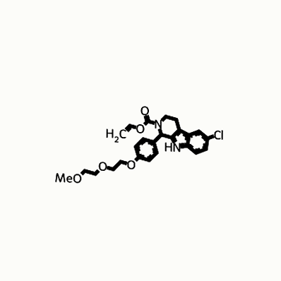 C=COC(=O)N1CCc2c([nH]c3ccc(Cl)cc23)C1c1ccc(OCCOCCOC)cc1